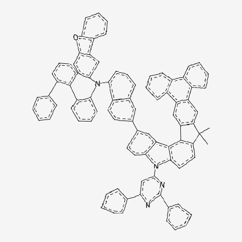 CC1(C)c2cc3c4ccccc4c4ccccc4c3cc2-c2c1ccc1c2c2cc(-c3ccc4c(N(c5ccc6oc7ccccc7c6c5)c5ccccc5-c5ccccc5-c5ccccc5)cccc4c3)ccc2n1-c1cc(-c2ccccc2)nc(-c2ccccc2)n1